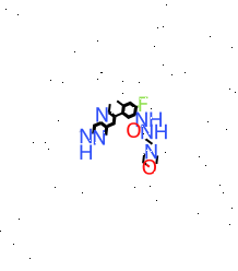 CNc1cc2nc(C)c(-c3cc(NC(=O)NCCN4CCOCC4)c(F)cc3C)cc2cn1